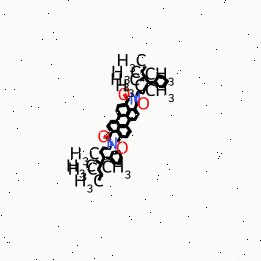 CCC(C)C(C)(CC)C(c1ccccc1)C(C)CCN1C(=O)c2ccc3c4ccc5c6c(ccc(c7ccc(c2c37)C1=O)c64)C(=O)N(CCC(C)(C)C(c1ccccc1)C(C)(CC)C(C)CC)C5=O